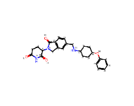 O=C1CCC(N2Cc3cc(CNC4CCC(Oc5ccccc5)CC4)ccc3C2=O)C(=O)N1